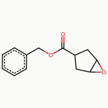 O=C(OCc1ccccc1)C1CC2OC2C1